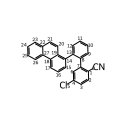 N#Cc1ccc(Cl)cc1-c1ccccc1-c1cccc2c1ccc1ccccc12